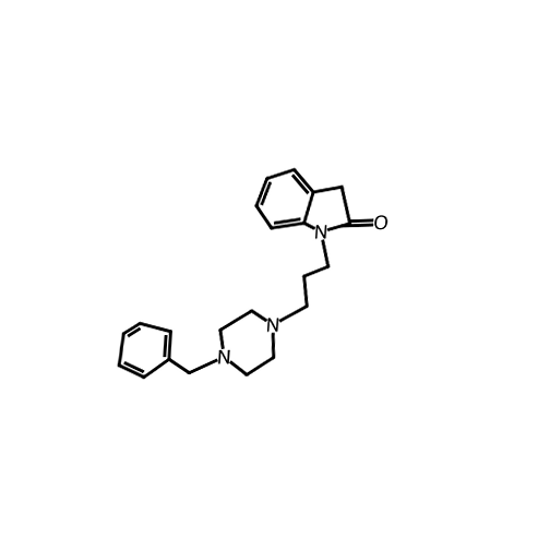 O=C1Cc2ccccc2N1CCCN1CCN(Cc2ccccc2)CC1